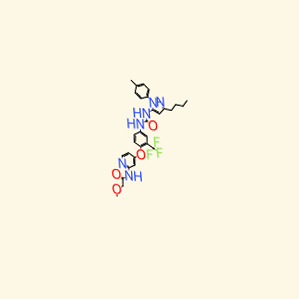 CCCCc1cc(NC(=O)Nc2ccc(Oc3ccnc(NC(=O)COC)c3)c(C(F)(F)F)c2)n(-c2ccc(C)cc2)n1